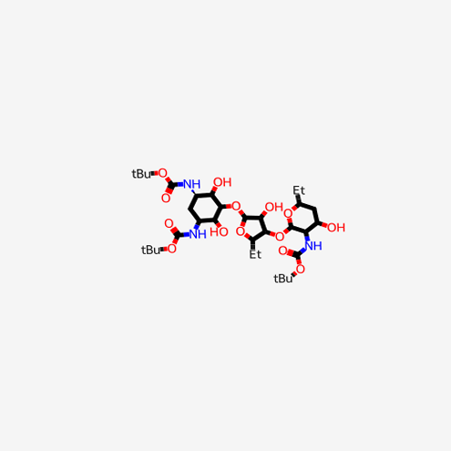 CCC1CC(O)C(NC(=O)OC(C)(C)C)C(OC2C(CC)OC(OC3C(O)C(NC(=O)OC(C)(C)C)C[C@H](NC(=O)OC(C)(C)C)C3O)C2O)O1